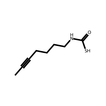 CC#CCCCCNC(=O)S